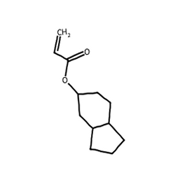 C=CC(=O)OC1CCC2CCCC2C1